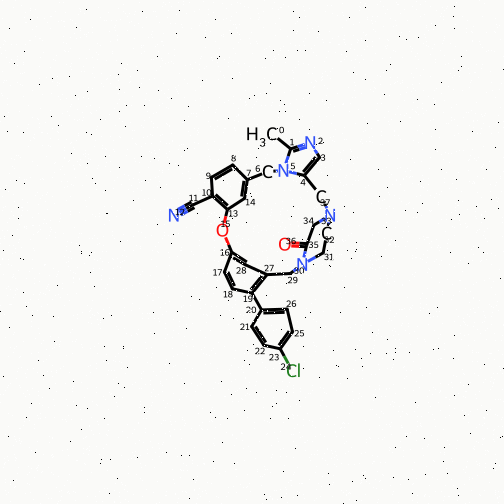 Cc1ncc2n1Cc1ccc(C#N)c(c1)Oc1ccc(-c3ccc(Cl)cc3)c(c1)CN1CCN(CC1=O)C2